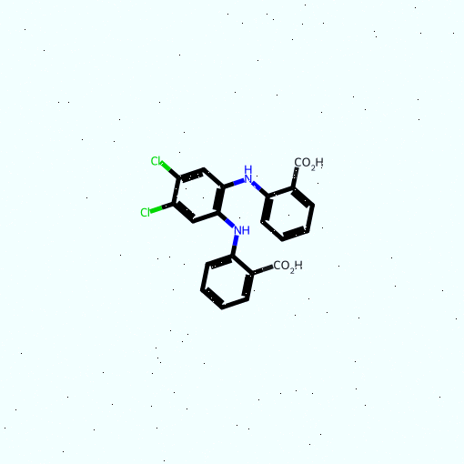 O=C(O)c1ccccc1Nc1cc(Cl)c(Cl)cc1Nc1ccccc1C(=O)O